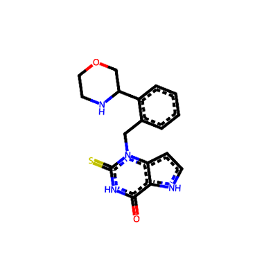 O=c1[nH]c(=S)n(Cc2ccccc2C2COCCN2)c2cc[nH]c12